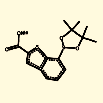 COC(=O)c1cc2cccc(B3OC(C)(C)C(C)(C)O3)c2s1